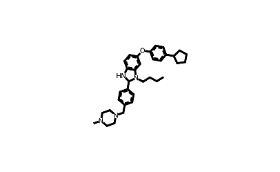 CCCCN1c2cc(Oc3ccc(C4CCCC4)cc3)ccc2NC1c1ccc(CN2CCN(C)CC2)cc1